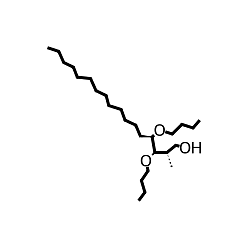 CCCCCCCCCCCCC[C@@H](OCCCC)[C@@H](OCCCC)[C@@H](C)CO